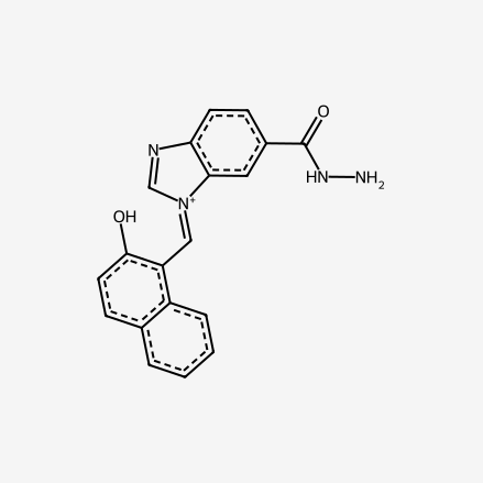 NNC(=O)c1ccc2c(c1)[N+](=Cc1c(O)ccc3ccccc13)C=N2